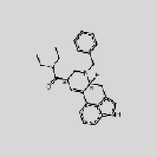 CCN(CC)C(=O)[C@@H]1C=C2c3cccc4[nH]cc(c34)C[C@H]2N(Cc2ccccc2)C1